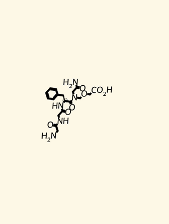 NCC(=O)NCC(=O)N[C@@H](Cc1ccccc1)C(=O)N(COCC(=O)O)CC(N)=O